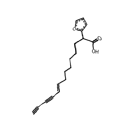 C#CC#CC=CCCCCCCC(C(=O)O)c1ccco1